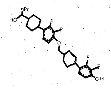 CCCC(O)C1CCC(c2ccc(OCC3CCC(c4ccc(O)c(F)c4F)CC3)c(F)c2F)CC1